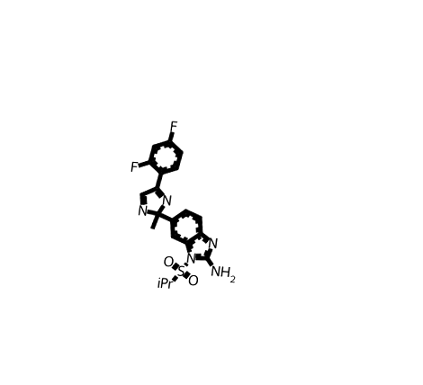 CC(C)S(=O)(=O)n1c(N)nc2ccc(C3(C)N=CC(c4ccc(F)cc4F)=N3)cc21